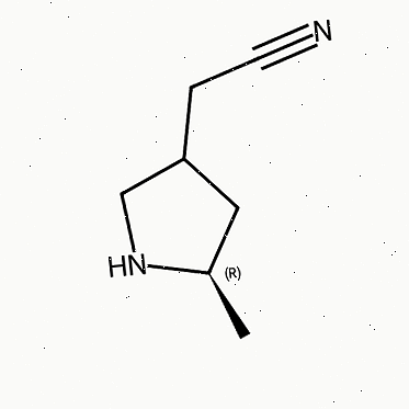 C[C@@H]1CC(CC#N)CN1